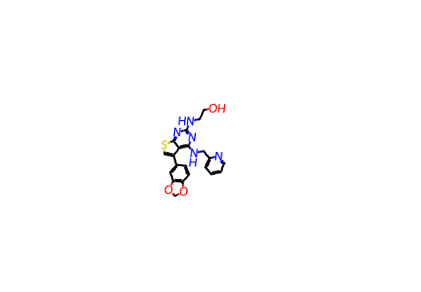 OCCNc1nc(NCc2ccccn2)c2c(-c3ccc4c(c3)OCO4)csc2n1